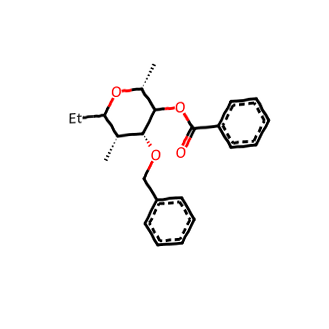 CCC1O[C@H](C)C(OC(=O)c2ccccc2)[C@H](OCc2ccccc2)[C@@H]1C